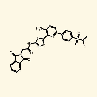 CC(C)S(=O)(=O)c1ccc(-c2cnc(N)c(-c3nnc(NC(=O)CN4C(=O)c5ccccc5C4=O)o3)n2)cc1